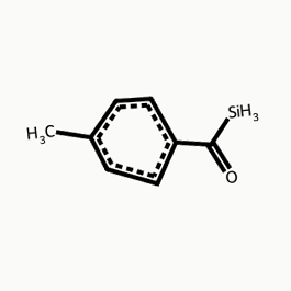 Cc1ccc(C(=O)[SiH3])cc1